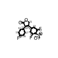 CS(=O)(=O)c1c(F)cc(C2=C(c3ccc(F)cc3)C(=O)OC2)cc1F